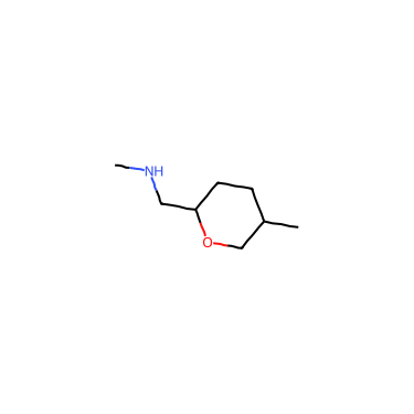 CNCC1CCC(C)CO1